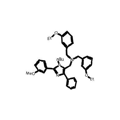 CCCCn1c(-c2cccc(OC)c2)nc(-c2ccccc2)c1CN(Cc1cccc(OCC)c1)Cc1cccc(OCC)c1